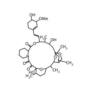 COC1C=C(/C=C/C2OC(=O)C3CCCCN3C(=O)C(=O)C3(O)OC(CCC3C)C(C)C3OC4(CC(O)C2C)OCC3C(C)CC4C)CCC1O